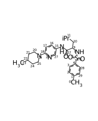 Cc1ccc(S(=O)(=O)NC(CC(C)C)C(=O)Nc2ccc(N3CCC(C)CC3)nc2)cc1